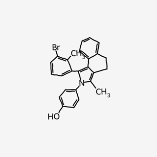 Cc1c(Br)cccc1-c1c2c(c(C)n1-c1ccc(O)cc1)CCc1ccccc1-2